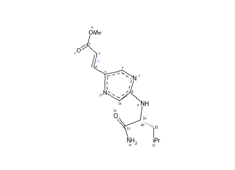 COC(=O)/C=C/c1cnc(N[C@H](CC(C)C)C(N)=O)cn1